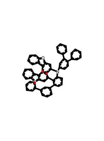 c1ccc(-c2cccc(-c3cccc(N(c4ccc(-c5ccccc5)c(-c5ccccc5)c4)c4ccc5c(c4)oc4ccccc45)c3-c3ccc4c(c3)sc3ccccc34)c2)cc1